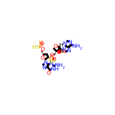 Nc1nc2c(ncn2[C@@H]2O[C@H](CO[PH](=O)S)C[C@H]2P(=O)(S)OC[C@@]23CO[C@@H]([C@H](n4cnc5c(N)ncnc54)O2)[C@@H]3O)c(=O)[nH]1